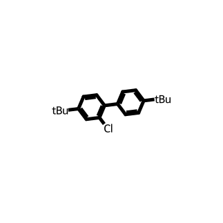 CC(C)(C)c1ccc(-c2ccc(C(C)(C)C)cc2Cl)cc1